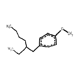 CCCCC(CC)Cc1ccc(OC)cc1